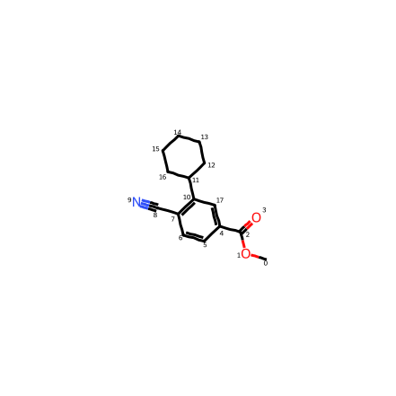 COC(=O)c1ccc(C#N)c(C2CCCCC2)c1